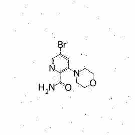 NC(=O)c1ncc(Br)cc1N1CCOCC1